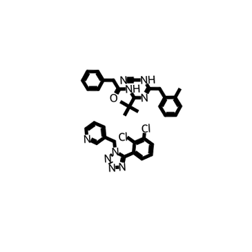 Cc1ccccc1CC(=NC(NC(=O)Cc1ccccc1)C(C)(C)C)NC#N.Clc1cccc(-c2nnnn2Cc2cccnc2)c1Cl